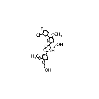 COc1cc(C(=O)N[C@@H](CCO)C(=O)c2ccc(OC)c(-c3ccc(F)c(Cl)c3)n2)ccc1OCCO